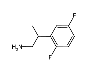 CC(CN)c1cc(F)ccc1F